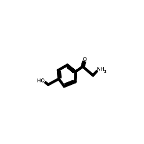 NCC(=O)c1ccc(CO)cc1